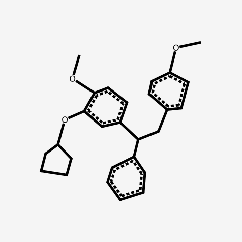 COc1ccc(CC(c2ccccc2)c2ccc(OC)c(OC3CCCC3)c2)cc1